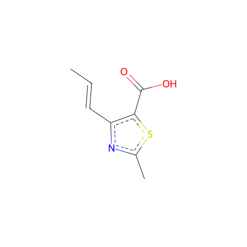 C/C=C/c1nc(C)sc1C(=O)O